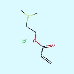 C=CC(=O)OCC[S+](C)C.[Cl-]